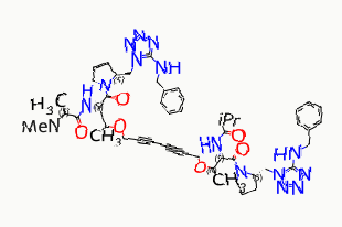 CN[C@@H](C)C(=O)N[C@H](C(=O)N1CCC[C@H]1Cn1nnnc1NCc1ccccc1)C(C)OCC#CC#CCO[C@H](C)[C@H](NC(=O)C(C)C)C(=O)N1CCC[C@H]1Cn1nnnc1NCc1ccccc1